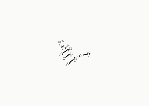 CC[O-].CC[O-].CC[O-].CC[O-].[Mg+2].[Ni+2]